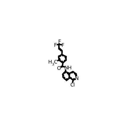 Cc1cc(/C=C/C(F)(F)F)ccc1C(=O)Nc1cccc2c(Cl)nccc12